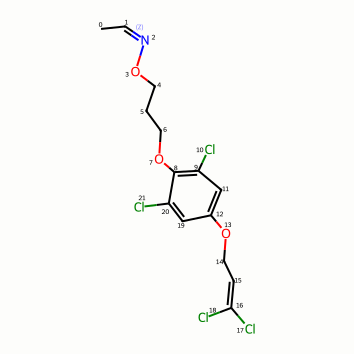 C/C=N\OCCCOc1c(Cl)cc(OCC=C(Cl)Cl)cc1Cl